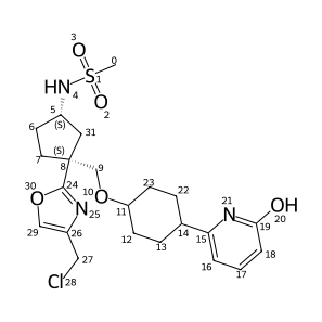 CS(=O)(=O)N[C@H]1CC[C@](COC2CCC(c3cccc(O)n3)CC2)(c2nc(CCl)co2)C1